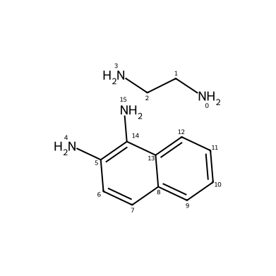 NCCN.Nc1ccc2ccccc2c1N